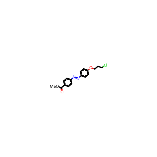 COC(=O)c1ccc(N=Nc2ccc(OCCCCl)cc2)cc1